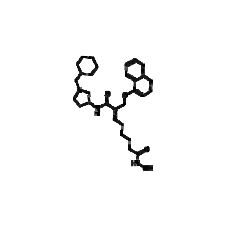 O=C(CCCC/C=C(\COc1cccc2ccccc12)C(=O)NC1CCN(CC2CCCCC2)C1)NO